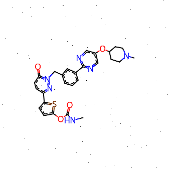 CNC(=O)Oc1ccc(-c2ccc(=O)n(Cc3cccc(-c4ncc(OC5CCN(C)CC5)cn4)c3)n2)s1